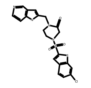 O=C1CN(S(=O)(=O)c2cc3ccc(Cl)cc3s2)CCN1CC1=Cc2cnccc2[N]1